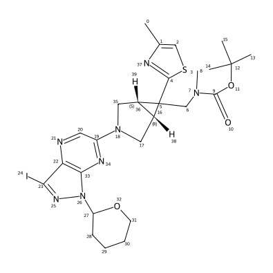 Cc1csc(C2(CN(C)C(=O)OC(C)(C)C)[C@@H]3CN(c4cnc5c(I)nn(C6CCCCO6)c5n4)C[C@@H]32)n1